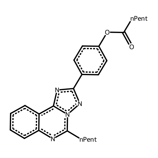 CCCCCC(=O)Oc1ccc(-c2nc3c4ccccc4nc(CCCCC)n3n2)cc1